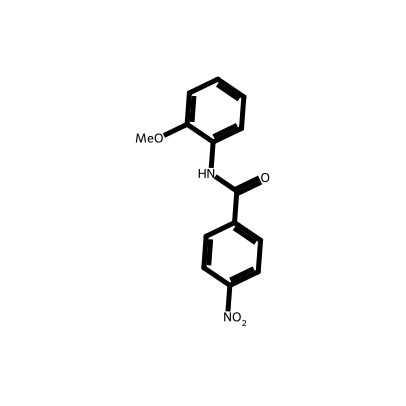 COc1ccccc1NC(=O)c1ccc([N+](=O)[O-])cc1